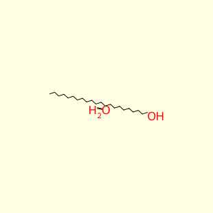 C=C.CCCCCCCCCCCCCCCCCCCCCCO.O